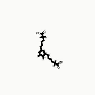 Cc1cc(CCCCC(C)(C)C(=O)O)cc(CCCCC(C)(C)C(=O)O)c1C